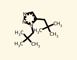 CC(C)(C)Cc1cnnn1CC(C)(C)C